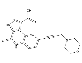 O=C(O)c1c[nH]c2c(=O)[nH]c3ccc(C#CCN4CCOCC4)cc3c12